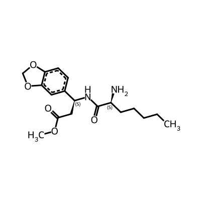 CCCCC[C@H](N)C(=O)N[C@@H](CC(=O)OC)c1ccc2c(c1)OCO2